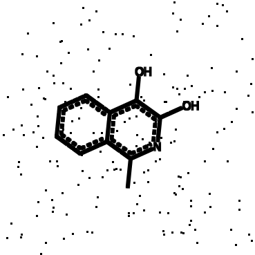 Cc1nc(O)c(O)c2ccccc12